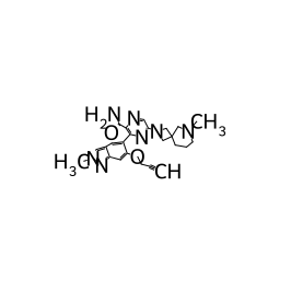 C#CCOc1cc2nn(C)cc2cc1-c1nc(N2CC3(CCCN(C)C3)C2)cnc1C(N)=O